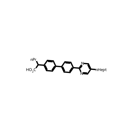 CCCCCCCc1cnc(-c2ccc(-c3ccc(C(CCC)C(=O)O)cc3)cc2)nc1